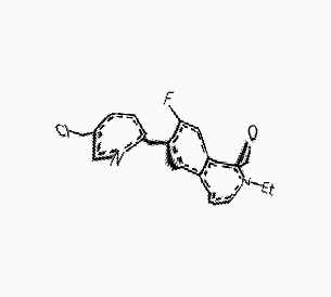 CCn1ccc2cc(-c3ccc(Cl)cn3)c(F)cc2c1=O